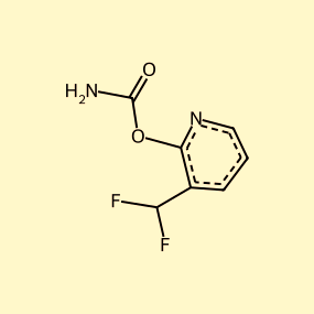 NC(=O)Oc1ncccc1C(F)F